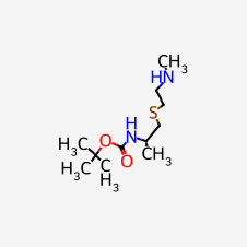 CNCCSC[C@@H](C)NC(=O)OC(C)(C)C